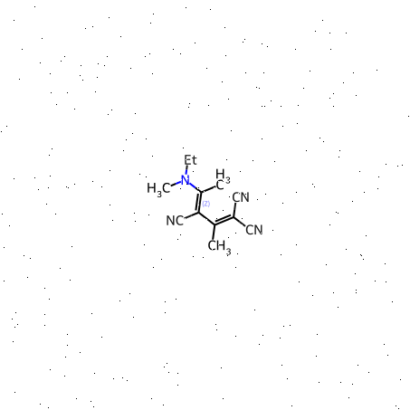 CCN(C)/C(C)=C(\C#N)C(C)=C(C#N)C#N